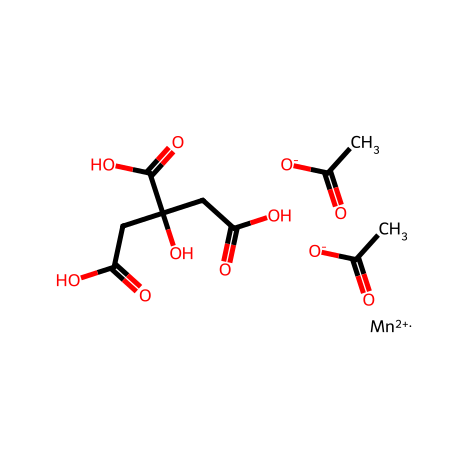 CC(=O)[O-].CC(=O)[O-].O=C(O)CC(O)(CC(=O)O)C(=O)O.[Mn+2]